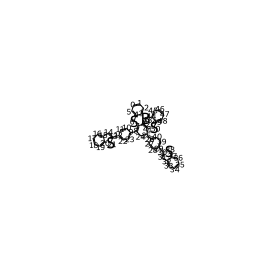 c1ccc2c(c1)SC1=C(c3ccc(-c4cc5ccccc5s4)cc3)CC(c3ccc(-c4cc5ccccc5s4)cc3)C3=C1B2c1ccccc1S3